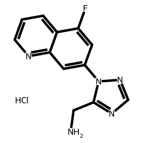 Cl.NCc1ncnn1-c1cc(F)c2cccnc2c1